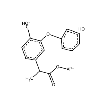 CC(C(=O)[O][Al+2])c1ccc(Cl)c(Oc2ccccc2)c1.[OH-].[OH-]